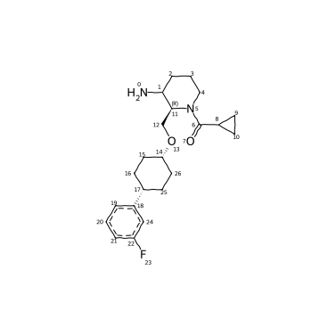 NC1CCCN(C(=O)C2CC2)[C@H]1CO[C@H]1CC[C@@H](c2cccc(F)c2)CC1